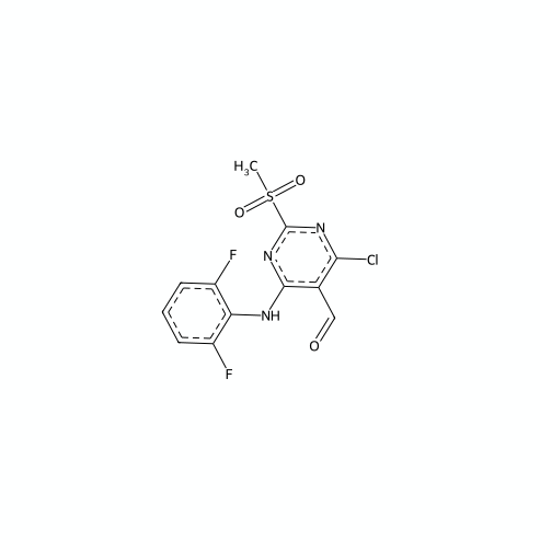 CS(=O)(=O)c1nc(Cl)c(C=O)c(Nc2c(F)cccc2F)n1